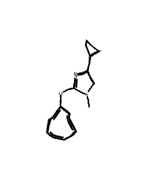 CN1CC(C2CC2)N=C1Oc1ccccc1